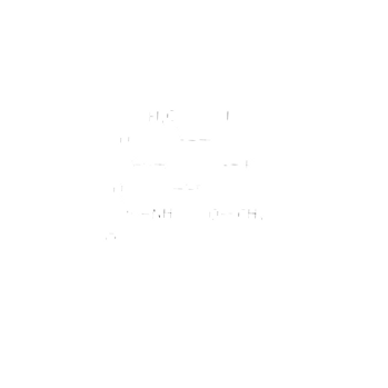 COc1c(F)c(I)c(C)c2c(=O)oc(=O)[nH]c12